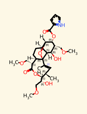 COC[C@@H]1[C@@H](O)[C@@H]2[C@H]3CC[C@@H]4[C@@H](COC)C(=O)O[C@H]([C@H](O)COC)[C@H](C)/C=C(\C)[C@@]24O[C@H]3[C@@H]1OC(=O)c1ccc[nH]1